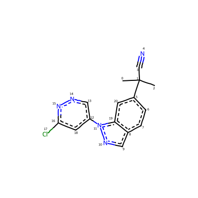 CC(C)(C#N)c1ccc2cnn(-c3cnnc(Cl)c3)c2c1